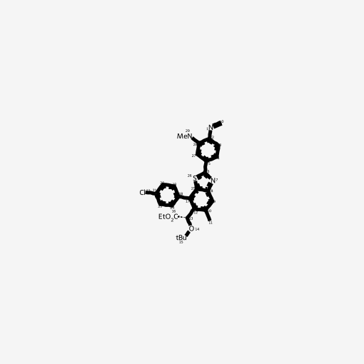 C=Nc1ccc(-c2nc3cc(C)c([C@H](OC(C)(C)C)C(=O)OCC)c(-c4ccc(Cl)cc4)c3s2)cc1NC